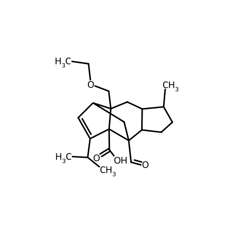 CCOCC12CC3C(C)CCC3C3(C=O)CC1C=C(C(C)C)C32C(=O)O